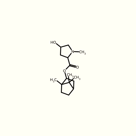 CN1CC(O)CC1C(=O)OC1CC2CCC1(C)C2(C)C